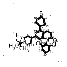 CC(C)(C)N1CCC(c2cc3c(c(-c4ccc(F)cc4)n2)CCC(=O)N3c2c(Cl)cccc2Cl)CC1